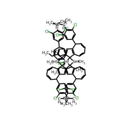 CCC1=CC2=C(C=CC=CC2c2cc(Cl)c([SiH](C)C)c(Cl)c2)[C]12[SiH](C)[C]1(C(CC)=CC3=C1C=CC=CC3c1cc(Cl)c([SiH](C)C)c(Cl)c1)[Hf]21([Cl])([Cl])[C]2(C(CC)=CC3=C2C=CC=CC3c2cc(Cl)c([SiH](C)C)c(Cl)c2)[SiH](C)[C]12C(CC)=CC1=C2C=CC=CC1c1cc(Cl)c([SiH](C)C)c(Cl)c1